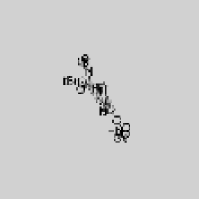 C=C(C)[C@@H]1CC[C@]2(CN(CCCN3CCS(=O)(=O)CC3)C(=O)OC(C)(C)C)CC[C@]3(C)[C@H](CC[C@@H]4[C@@]5(C)CC=C(c6ccc(C(=O)NS(=O)(=O)N(C)C)cc6)C(C)(C)[C@@H]5CC[C@]43C)[C@@H]12